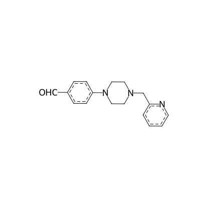 O=Cc1ccc(N2CCN(Cc3ccccn3)CC2)cc1